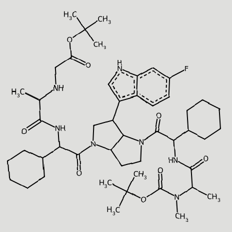 CC(NCC(=O)OC(C)(C)C)C(=O)NC(C(=O)N1CC(c2c[nH]c3cc(F)ccc23)C2C1CCN2C(=O)C(NC(=O)C(C)N(C)C(=O)OC(C)(C)C)C1CCCCC1)C1CCCCC1